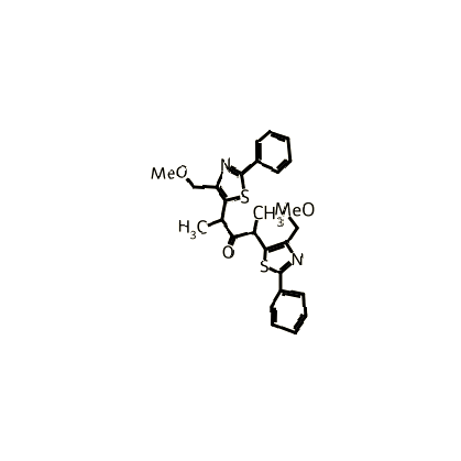 COCc1nc(-c2ccccc2)sc1C(C)C(=O)C(C)c1sc(-c2ccccc2)nc1COC